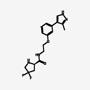 Cc1n[nH]cc1-c1c[c]cc(OCCNC(=O)[C@H]2CC(F)(F)CN2)c1